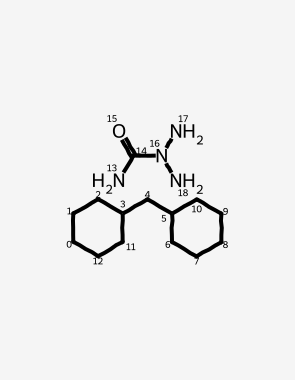 C1CCC(CC2CCCCC2)CC1.NC(=O)N(N)N